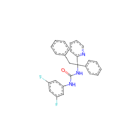 O=C(Nc1cc(F)cc(F)c1)NC(Cc1ccccc1)(c1ccccc1)c1ccccn1